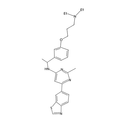 CCN(CC)CCCOc1cccc(C(C)Nc2cc(-c3ccc4ncsc4c3)nc(C)n2)c1